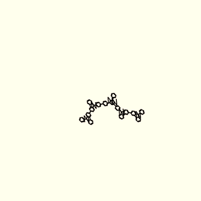 c1ccc(-c2nc(-c3ccc(-c4ccc(-n5c6ccccc6c6cc(-c7ccc8c(c7)c7ccccc7n8-c7ccccc7)ccc65)cc4)cc3)cc(-c3ccc(-n4c5ccccc5c5cc(-c6ccc7c(c6)c6ccccc6n7-c6ccccc6)ccc54)cc3)n2)cc1